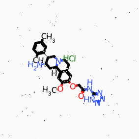 COc1cc2c(cc1OCC(=O)Nc1nnn[nH]1)CCN1C[C@@H](c3cc(C)ccc3C)[C@H](N)C[C@H]21.Cl